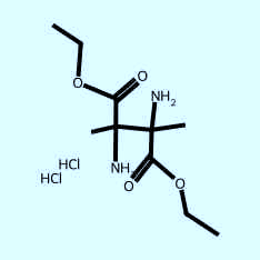 CCOC(=O)C(C)(N)C(C)(N)C(=O)OCC.Cl.Cl